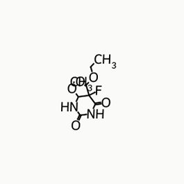 CCOC(=O)C1(F)C(=O)NC(=O)NC1OC